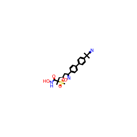 CC(C)(C#N)c1ccc(-c2ccc(C3=NO[C@@H](CC(C)(C(=O)NO)S(C)(=O)=O)C3)cc2)cc1